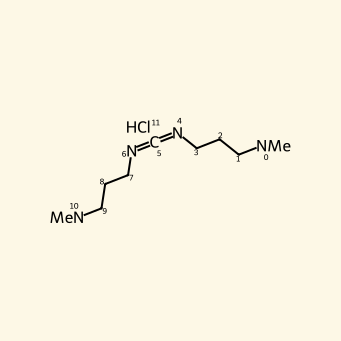 CNCCCN=C=NCCCNC.Cl